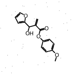 C=C(C(=O)Oc1ccc(OC)cc1)C(O)c1ccco1